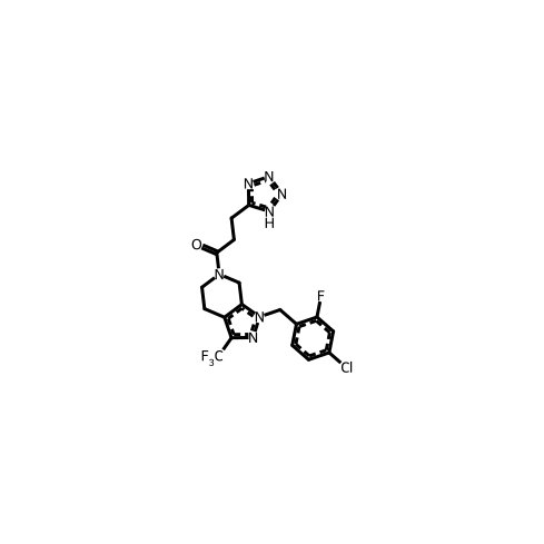 O=C(CCc1nnn[nH]1)N1CCc2c(C(F)(F)F)nn(Cc3ccc(Cl)cc3F)c2C1